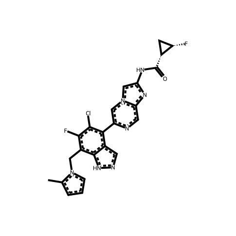 Cc1cccn1Cc1c(F)c(Cl)c(-c2cn3cc(NC(=O)[C@@H]4C[C@@H]4F)nc3cn2)c2cn[nH]c12